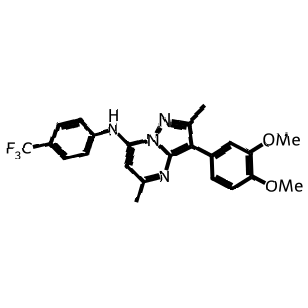 COc1ccc(-c2c(C)nn3c(Nc4ccc(C(F)(F)F)cc4)cc(C)nc23)cc1OC